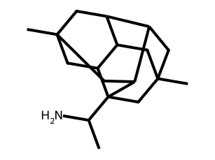 CC(N)C12CC3(C)CC4C5CC(C)(CC41)CC2C5C3